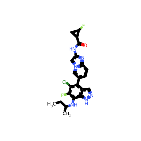 CCC(C)Nc1c(F)c(Cl)c(-c2ccc3nc(NC(=O)C4CC4F)cn3c2)c2cn[nH]c12